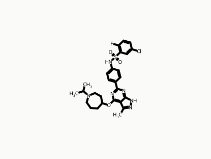 Cc1n[nH]c2nc(-c3ccc(NS(=O)(=O)c4cc(Cl)ccc4F)cc3)nc(OC3CCCN(C(C)C)CC3)c12